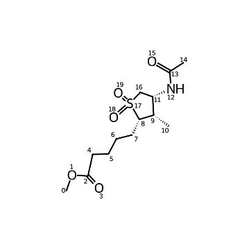 COC(=O)CCCC[C@H]1[C@@H](C)[C@@H](NC(C)=O)CS1(=O)=O